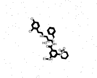 CCNc1cc(C(=O)N[C@@H](Cc2ccccc2)[C@H](O)CNCCc2ccc(Cl)cc2Cl)cc(N2CCCCS2(=O)=O)c1